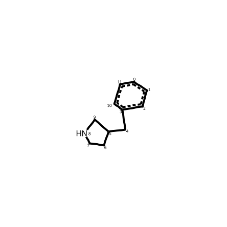 [c]1ccc(CC2CCNC2)cc1